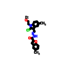 CCOCCn1c(Cl)c(/C=N/NC(=O)c2cc3cc(C)ccc3o2)c2cc(C)ccc21